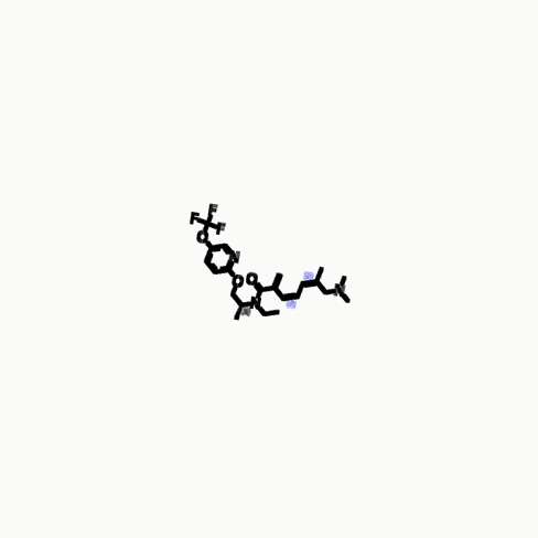 C=C(/C=C\C=C(\C)CN(C)C)C(=O)N(CC)[C@@H](C)COc1ccc(OC(F)(F)F)cn1